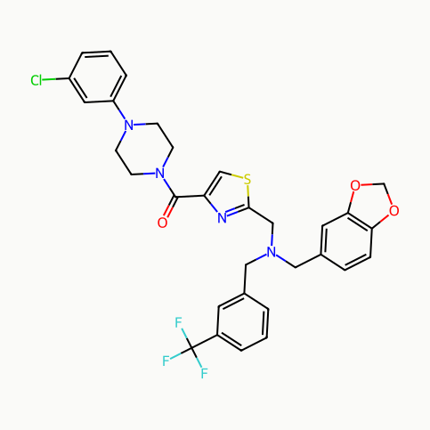 O=C(c1csc(CN(Cc2cccc(C(F)(F)F)c2)Cc2ccc3c(c2)OCO3)n1)N1CCN(c2cccc(Cl)c2)CC1